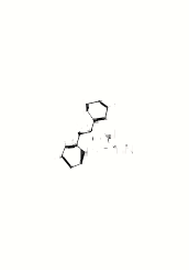 CCCCCCCCCN(C)C.O=C(C(=O)c1ccccc1)c1ccccc1